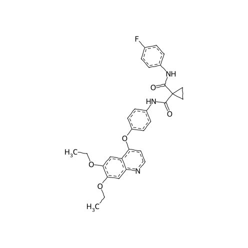 CCOc1cc2nccc(Oc3ccc(NC(=O)C4(C(=O)Nc5ccc(F)cc5)CC4)cc3)c2cc1OCC